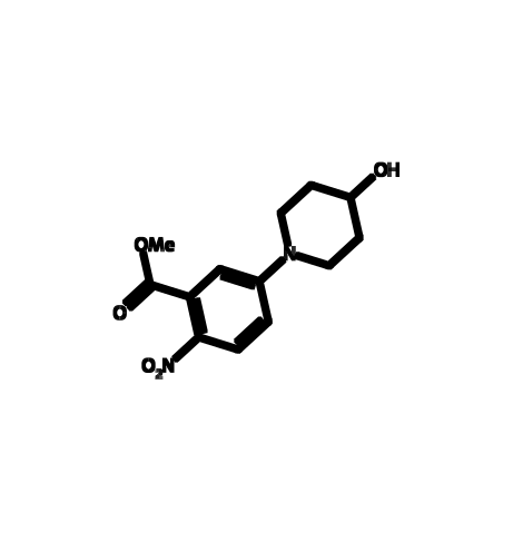 COC(=O)c1cc(N2CCC(O)CC2)ccc1[N+](=O)[O-]